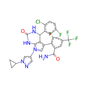 NC(=O)c1cc(C(F)(F)F)cc(F)c1-c1cn(-c2cnn(C3CC3)c2)c2c1C(c1cc(F)ccc1Cl)NC(=O)N2